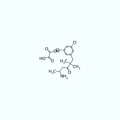 CC(N)CC(=O)C(C)(C)Cc1cc(Cl)cc(Cl)c1.O=C(O)C(=O)O